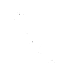 Cc1ccc(N2C=CN(C3CCNCC3)C2)o1